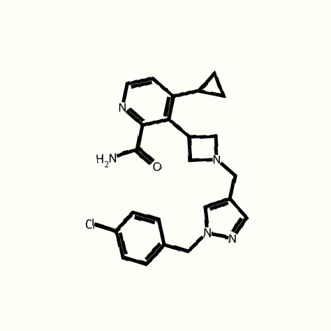 NC(=O)c1nccc(C2CC2)c1C1CN(Cc2cnn(Cc3ccc(Cl)cc3)c2)C1